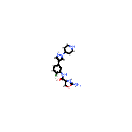 NC1=NC(C(=O)Nc2cc(-c3cnn(C4CCNCC4)c3)ccc2Cl)CO1